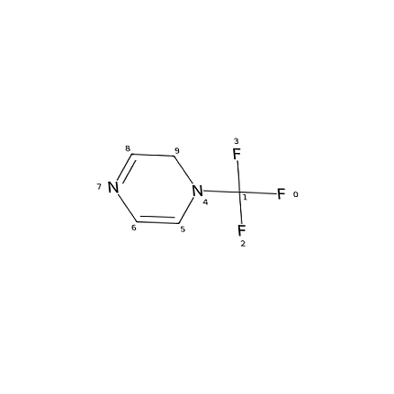 FC(F)(F)N1C=CN=CC1